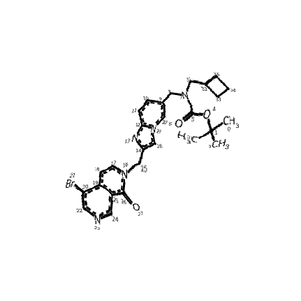 CC(C)(C)OC(=O)N(Cc1ccc2nc(Cn3ccc4c(Br)cncc4c3=O)cn2c1)CC1CCC1